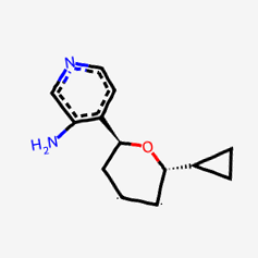 Nc1cnccc1[C@@H]1C[CH][CH][C@@H](C2CC2)O1